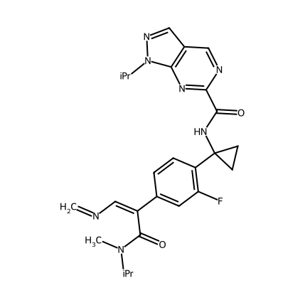 C=N/C=C(\C(=O)N(C)C(C)C)c1ccc(C2(NC(=O)c3ncc4cnn(C(C)C)c4n3)CC2)c(F)c1